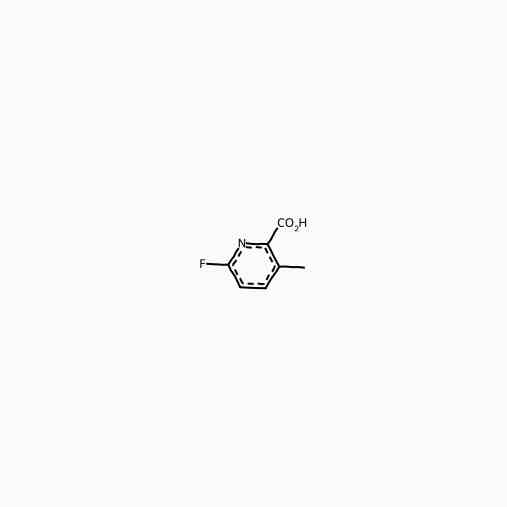 Cc1ccc(F)nc1C(=O)O